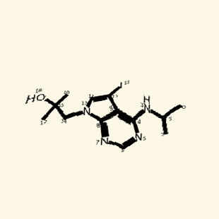 CC(C)Nc1ncnc2c1c(I)cn2CC(C)(C)O